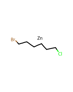 ClCCCCCCBr.[Zn]